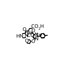 CCOC(=O)N1CCNCC1C(=O)C(CCC(=O)O)NC(=O)c1cc(O[C@H]2CCOC2)nc(-c2ccc(C)cc2)n1